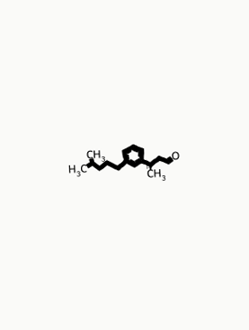 CC(C)CCCc1cccc([C@@H](C)CC=O)c1